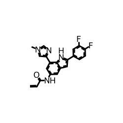 C=CC(=O)Nc1cc(-c2cn(C)cn2)c2[nH]c(-c3ccc(F)c(F)c3)cc2c1